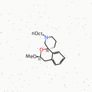 CCCCCCCCN1CCC[C@@]2(C1)O[C@H](OC)Cc1ccccc12